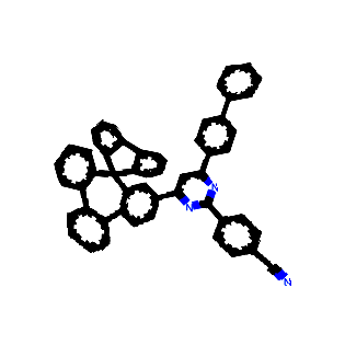 N#Cc1ccc(-c2nc(-c3ccc(-c4ccccc4)cc3)cc(-c3ccc4c(c3)C3(c5ccccc5-c5ccccc5-4)c4ccccc4-c4ccccc43)n2)cc1